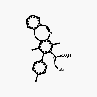 Cc1ccc(-c2c(C)c3c(c(C)c2[C@H](OC(C)(C)C)C(=O)O)N=Cc2ccccc2O3)cc1